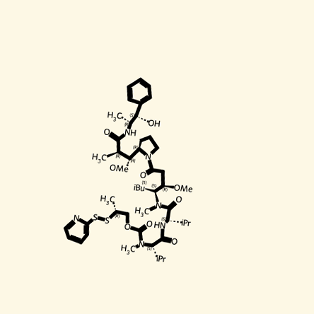 CC[C@H](C)[C@@H]([C@@H](CC(=O)N1CCC[C@@H]1[C@H](OC)[C@@H](C)C(=O)N[C@H](C)[C@@H](O)c1ccccc1)OC)N(C)C(=O)[C@@H](NC(=O)[C@H](C(C)C)N(C)C(=O)OC[C@@H](C)SSc1ccccn1)C(C)C